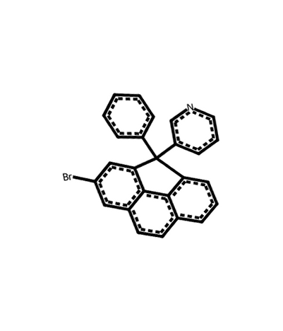 Brc1cc2c3c(ccc4cccc(c43)C2(c2ccccc2)c2cccnc2)c1